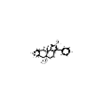 CC[C@@H]1c2oncc2C[C@]2(C)c3nn(C)c(-c4ccccc4)c3CC[C@@H]12